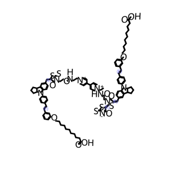 CC(NC(=O)Cn1c(=O)/c(=C\c2ccc3c(c2)C2CCCC2N3c2ccc(/C=C/c3cccc(OCCCCCCCCCCC(=O)O)c3)cc2)s/c1=C1/SC(=S)N(C)C1=O)[n+]1ccc(-c2cc[n+](CCNOCCN3C(=O)/C(=C\c4ccc5c(c4)C4CCCC4N5c4ccc(/C=C/c5cccc(OCCCCCCCCCCC(=O)O)c5)cc4)SC3=S)cc2)cc1